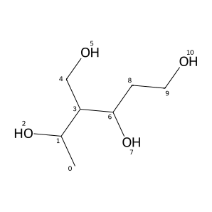 CC(O)C(CO)C(O)CCO